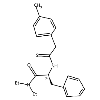 CCN(CC)C(=O)[C@H](Cc1ccccc1)NC(=S)Cc1ccc(C)cc1